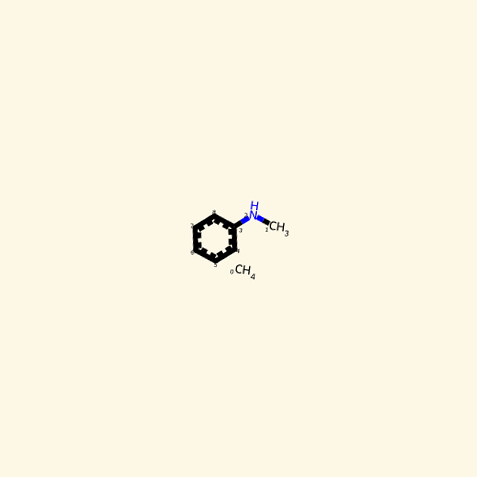 C.CNc1ccccc1